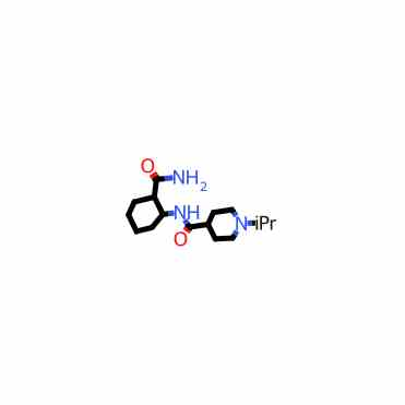 CC(C)N1CCC(C(=O)NC2CCCCC2C(N)=O)CC1